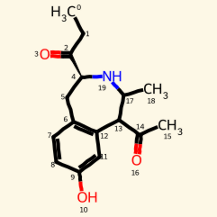 CCC(=O)[C@@H]1Cc2ccc(O)cc2C(C(C)=O)C(C)N1